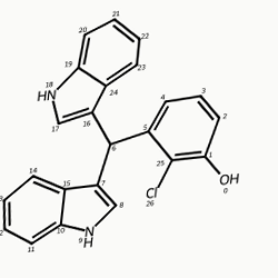 Oc1cccc(C(c2c[nH]c3ccccc23)c2c[nH]c3ccccc23)c1Cl